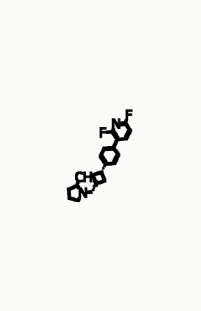 CC1CCCN1C[C@H]1C[C@@H](c2ccc(-c3ccc(F)nc3F)cc2)C1